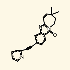 CC1(C)C=Cc2nc3cc(C#Cc4ccccn4)ccc3c(=O)n2CC1